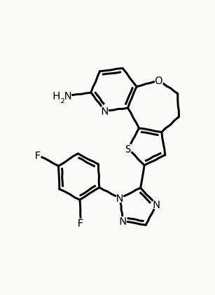 Nc1ccc2c(n1)-c1sc(-c3ncnn3-c3ccc(F)cc3F)cc1CCO2